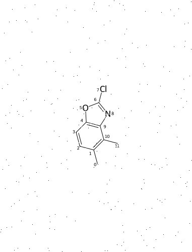 Cc1ccc2oc(Cl)nc2c1C